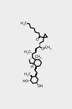 C=C1/C(=C\C=C2/CCC[C@]3(C)[C@@H]([C@H](C)/C=C/[C@@H](CCC4(C(=O)CCCCCC)CC4)OC)CC[C@@H]23)C[C@@H](O)C[C@@H]1O